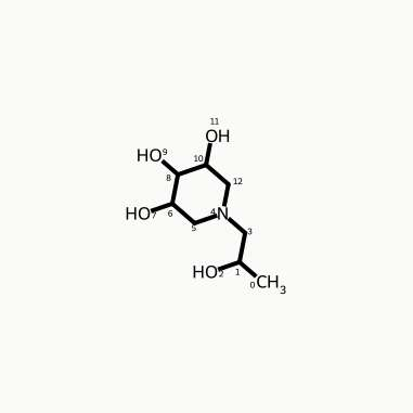 CC(O)CN1CC(O)C(O)C(O)C1